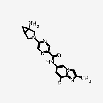 Cc1cn2cc(NC(=O)c3cnc(N4CC5C[C@]5(N)C4)cn3)cc(F)c2n1